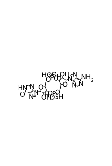 Nc1ncnc2c1ncn2C1OC2COP(=O)(S)O[C@@H]3C(COP(=O)(O)O[C@H]2[C@H]1O)OC(n1cnc2c(=O)[nH]cnc21)[C@@H]3O